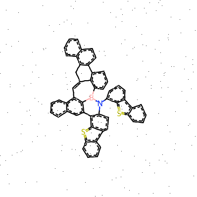 C1=C2Cc3c(ccc4ccccc34)-c3cccc(c32)B2c3c(cc4ccccc4c31)-c1c(ccc3c1sc1ccccc13)N2c1cccc2c1sc1ccccc12